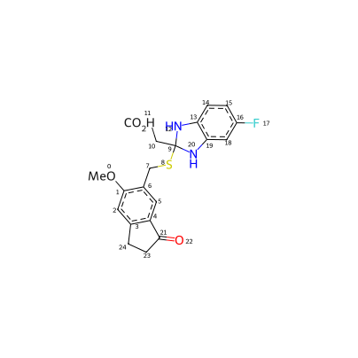 COc1cc2c(cc1CSC1(CC(=O)O)Nc3ccc(F)cc3N1)C(=O)CC2